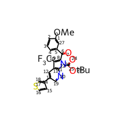 COc1cccc(C(=O)c2c(C(F)(F)F)c3cc(-c4ccsc4)cnc3n2C(=O)OC(C)(C)C)c1